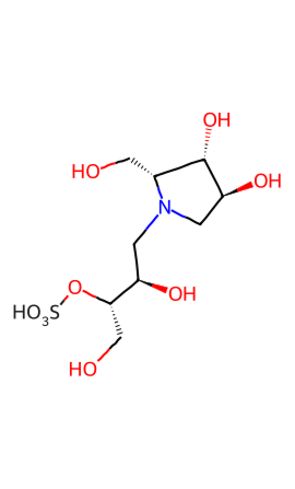 O=S(=O)(O)O[C@@H](CO)[C@H](O)CN1C[C@H](O)[C@@H](O)[C@H]1CO